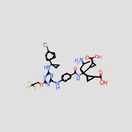 CC(N)CC(NC(=O)c1ccc(Nc2nc(NC3(c4ccc(Cl)cc4)CC3)nc(OCC(F)(F)F)n2)cc1)(C1CC1C(=O)O)C1CC1C(=O)O